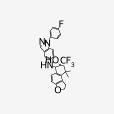 CC1(C)CC(O)(C(F)(F)F)C(Nc2ccc3c(cnn3-c3ccc(F)cc3)c2)c2ccc3c(c21)CCO3